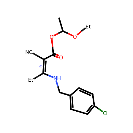 CCOC(C)OC(=O)/C(C#N)=C(/CC)NCc1ccc(Cl)cc1